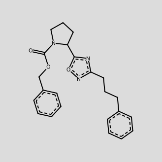 O=C(OCc1ccccc1)N1CCCC1c1nc(CCCc2ccccc2)no1